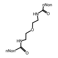 CCCCCCCCCC(=O)NCCOCCNC(=O)CCCCCCCCC